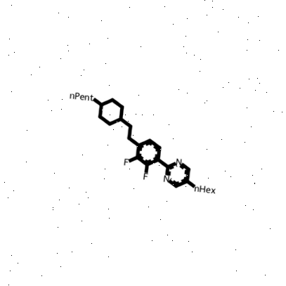 CCCCCCc1cnc(-c2ccc(CCC3CCC(CCCCC)CC3)c(F)c2F)nc1